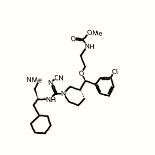 CNC[C@H](CC1CCCCC1)N/C(=N/C#N)N1CCC[C@@H]([C@@H](OCCNC(=O)OC)c2cccc(Cl)c2)C1